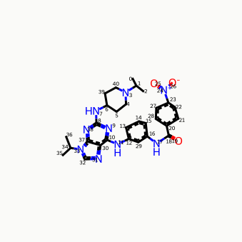 CC(C)N1CCC(Nc2nc(Nc3cccc(NC(=O)c4ccc([N+](=O)[O-])cc4)c3)c3ncn(C(C)C)c3n2)CC1